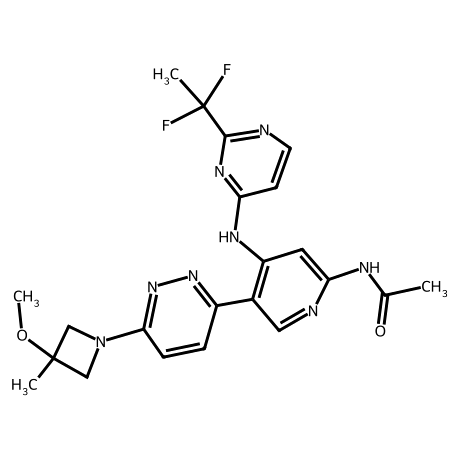 COC1(C)CN(c2ccc(-c3cnc(NC(C)=O)cc3Nc3ccnc(C(C)(F)F)n3)nn2)C1